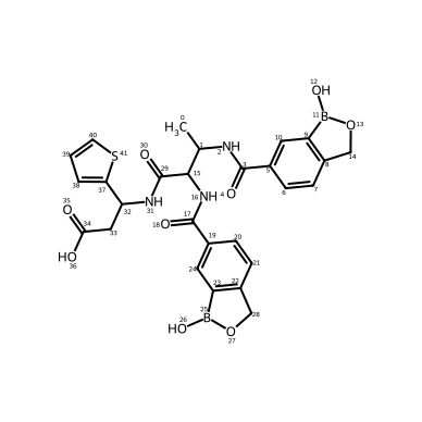 CC(NC(=O)c1ccc2c(c1)B(O)OC2)C(NC(=O)c1ccc2c(c1)B(O)OC2)C(=O)NC(CC(=O)O)c1cccs1